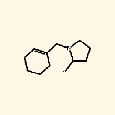 [CH2]C1CCCN1CC1=CCCCC1